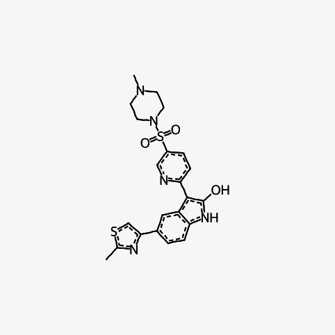 Cc1nc(-c2ccc3[nH]c(O)c(-c4ccc(S(=O)(=O)N5CCN(C)CC5)cn4)c3c2)cs1